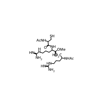 CC(=O)NC(CCCNC(=N)N)C(=O)O.COC(=O)C(CCCNC(=N)N)NC(=O)C(CS)NC(C)=O